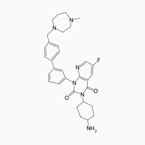 CN1CCCN(Cc2ccc(-c3cccc(-n4c(=O)n(C5CCC(N)CC5)c(=O)c5cc(F)cnc54)c3)cc2)CC1